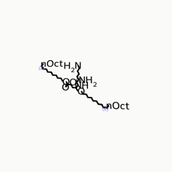 CCCCCCCC/C=C\CCCCCCCCOCC(CCC(=O)OCCCCCCCC/C=C\CCCCCCCC)NC(=O)[C@@H](N)CCCCN